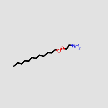 CCCCCCCCCCCCOOCCN